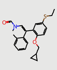 CCSc1ccc(OCC2CC2)c(/C(=C/N(C)C=O)c2ccccc2C)c1